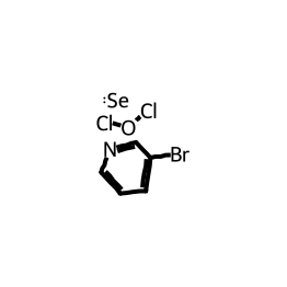 Brc1cccnc1.ClOCl.[Se]